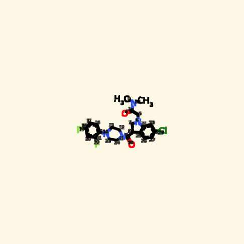 CN(C)C(=O)CN1CC(C(=O)N2CCN(c3ccc(F)cc3F)CC2)c2ccc(Cl)cc21